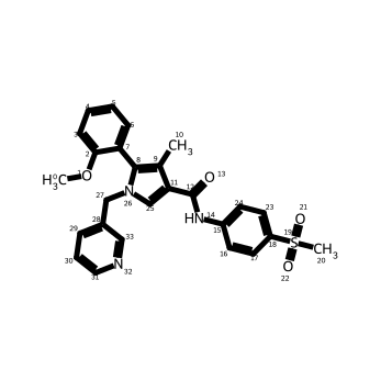 COc1ccccc1-c1c(C)c(C(=O)Nc2ccc(S(C)(=O)=O)cc2)cn1Cc1cccnc1